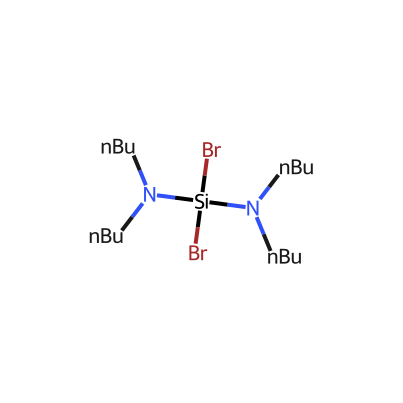 CCCCN(CCCC)[Si](Br)(Br)N(CCCC)CCCC